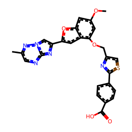 COc1cc(OCc2csc(-c3ccc(C(=O)O)cc3)n2)c2cc(-c3cn4nc(C)cnc4n3)oc2c1